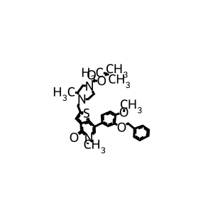 COc1ccc(-c2cn(C)c(=O)c3cc(CN4CCN(C(=O)OC(C)(C)C)CC4C)sc23)cc1OCc1ccccc1